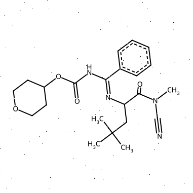 CN(C#N)C(=O)C(CC(C)(C)C)N=C(NC(=O)OC1CCOCC1)c1ccccc1